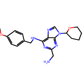 COc1ccc(CNc2nc(CN)nc3c2ncn3C2CCCCO2)cc1